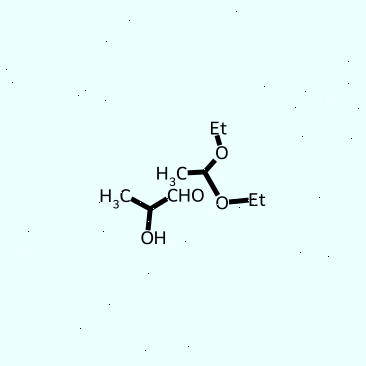 CC(O)C=O.CCOC(C)OCC